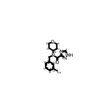 O=C(c1nc[nH]n1)N(Cc1cccc(I)c1)C1CCOCC1